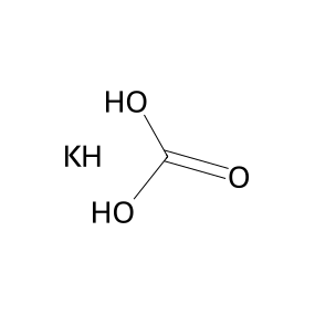 O=C(O)O.[KH]